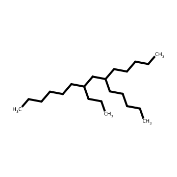 CCCCCCC([CH]C(CCCCC)CCCCC)CCC